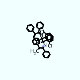 C=C(/C(=N\C(CC)(c1ccccc1Cl)C1(c2ccccc2Cl)CCC=C(c2ccccc2)C(c2ccccc2)=N1)c1ccccc1)c1ccccc1